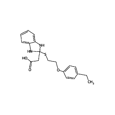 CCc1ccc(OCCSC2(CC(=O)O)Nc3ccccc3N2)cc1